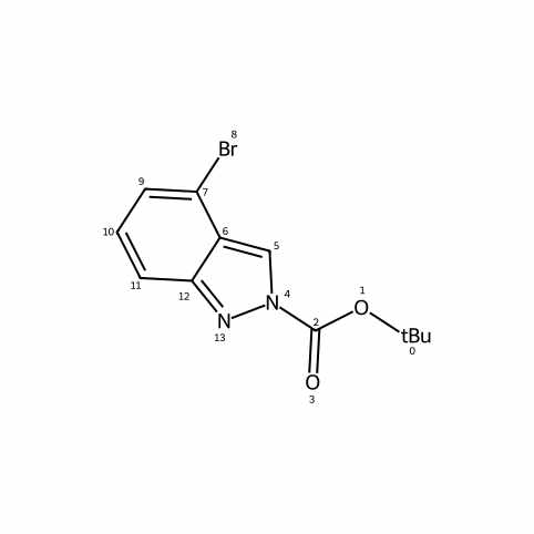 CC(C)(C)OC(=O)n1cc2c(Br)cccc2n1